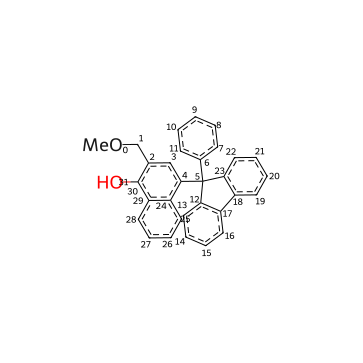 COCc1cc(C2(c3ccccc3)c3ccccc3-c3ccccc32)c2ccccc2c1O